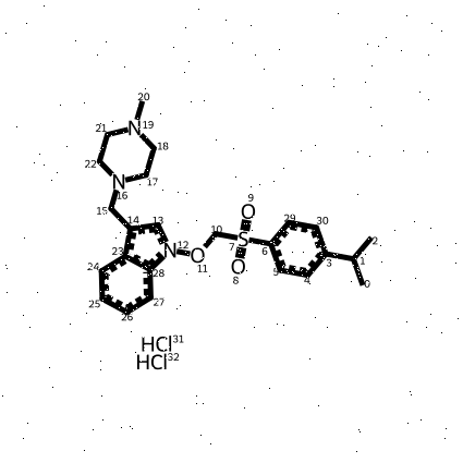 CC(C)c1ccc(S(=O)(=O)COn2cc(CN3CCN(C)CC3)c3ccccc32)cc1.Cl.Cl